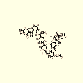 Cc1cnc(Nc2ccc(N3CCC(N(C)Cc4ccccc4NC4CCC(=O)NC4=O)CC3)cc2)nc1Nc1cccc(S(=O)(=O)NC(C)(C)C)c1